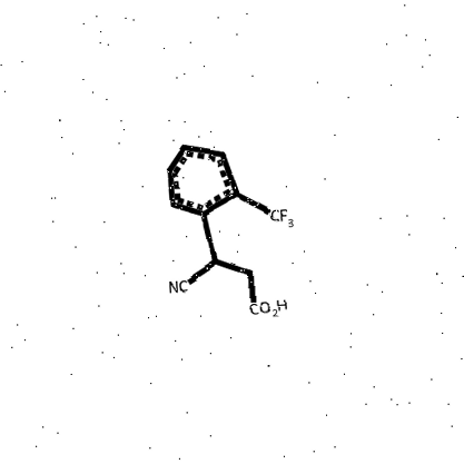 N#CC(CC(=O)O)c1ccccc1C(F)(F)F